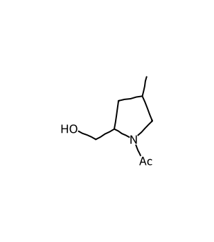 CC(=O)N1CC(C)CC1CO